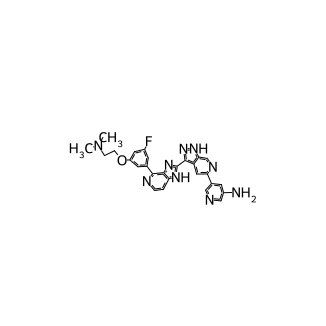 CN(C)CCOc1cc(F)cc(-c2nccc3[nH]c(-c4n[nH]c5cnc(-c6cncc(N)c6)cc45)nc23)c1